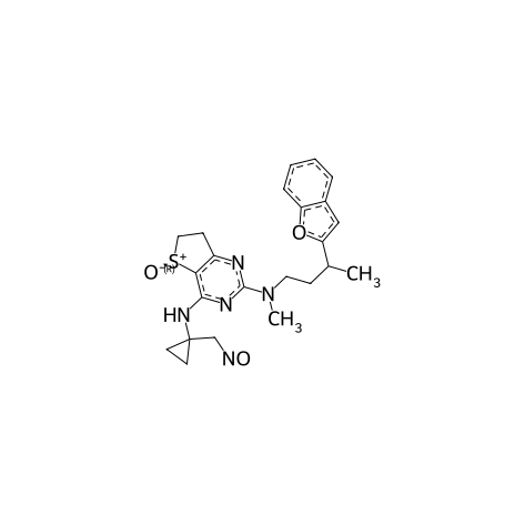 CC(CCN(C)c1nc2c(c(NC3(CN=O)CC3)n1)[S@@+]([O-])CC2)c1cc2ccccc2o1